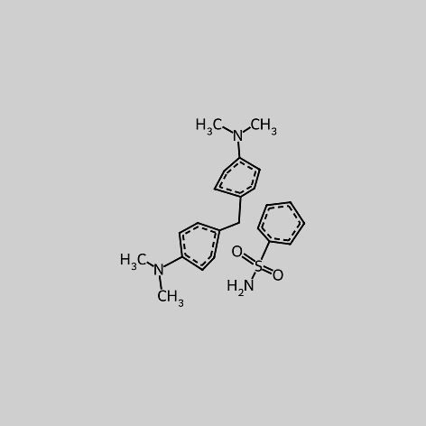 CN(C)c1ccc(Cc2ccc(N(C)C)cc2)cc1.NS(=O)(=O)c1ccccc1